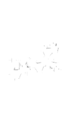 CCn1cc(-c2ccnc3[nH]ccc23)c(-c2ccc(NC(=O)N(C)C3=CCCC=C3)cc2)n1